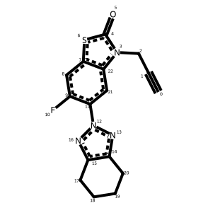 C#CCn1c(=O)sc2cc(F)c(-n3nc4c(n3)CCCC4)cc21